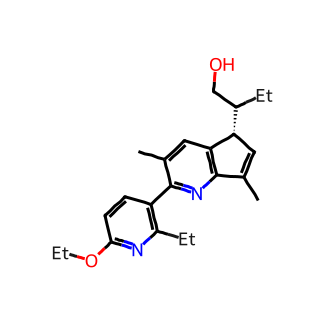 CCOc1ccc(-c2nc3c(cc2C)[C@H](C(CC)CO)C=C3C)c(CC)n1